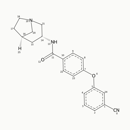 N#Cc1cccc(Oc2ccc(C(=O)N[C@@H]3C[C@H]4CCN(C4)C3)cc2)c1